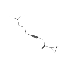 O=C(OC#CCOCC(F)F)C1CC1